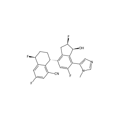 Cn1cncc1-c1c(F)cc([C@H]2CC[C@H](F)c3cc(F)cc(C#N)c32)c2c1[C@H](O)[C@H](F)C2